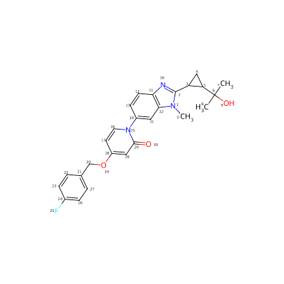 Cn1c(C2CC2C(C)(C)O)nc2ccc(-n3ccc(OCc4ccc(F)cc4)cc3=O)cc21